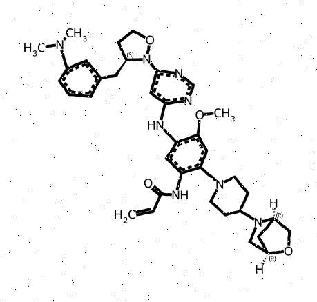 C=CC(=O)Nc1cc(Nc2cc(N3OCC[C@@H]3Cc3cccc(N(C)C)c3)ncn2)c(OC)cc1N1CCC(N2C[C@H]3C[C@@H]2CO3)CC1